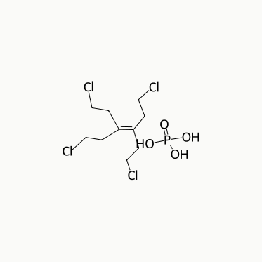 ClCCC(CCCl)=C(CCCl)CCCl.O=P(O)(O)O